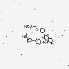 O=C(O)COc1cccc(-c2nc(Nc3ccc(-c4cnn(PI)c4)cc3)c3cnccc3n2)c1